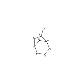 [CH2]C1CC2CCCC1C2